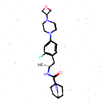 N#C[C@H](Cc1ccc(N2CCN(C3COC3)CC2)cc1F)NC(=O)C12CCC(CC1)CN2